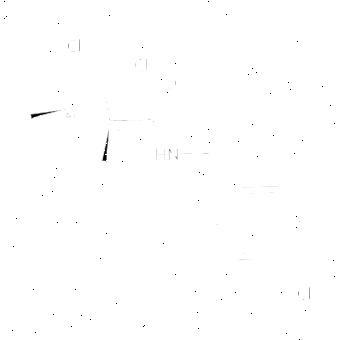 CC(NC(=O)[C@]1(C)[C@@H](C)C1(Cl)Cl)c1ccc(Cl)cc1